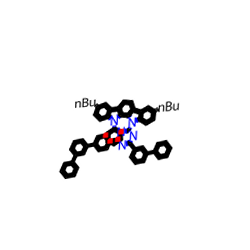 CCCCc1ccc2c(c1)c1ccc3c4cc(CCCC)ccc4n(-c4nc(-c5ccc(-c6cccc(-c7ccccc7)c6)cc5)nc(-c5cccc(-c6ccccc6)c5)n4)c3c1n2-c1ccccc1